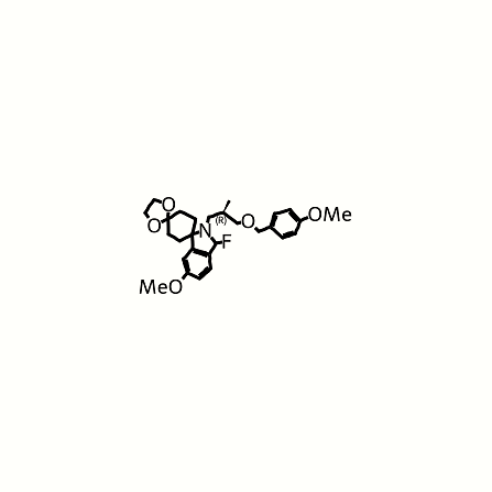 COc1ccc(COC[C@H](C)CN2C(F)c3ccc(OC)cc3C23CCC2(CC3)OCCO2)cc1